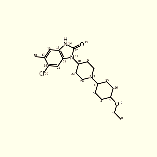 CCOC1CCC(N2CCC(n3c(=O)[nH]c4cc(C)c(Cl)cc43)CC2)CC1